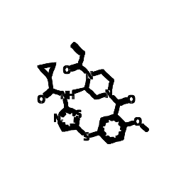 C=CC(=O)N1CCN(C(=O)c2cc(Sc3cnc(NC(=O)C4CC4)s3)ccc2OC)C[C@H]1C